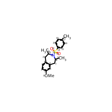 COc1ccc2c(c1)CC(C)N(S(=O)(=O)c1ccc(C)cc1)C(C)C2